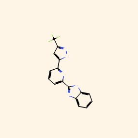 FC(F)(F)c1cc(-c2cccc(-c3nc4ccccc4[nH]3)n2)[nH]n1